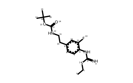 CCSC(=N)Nc1ccc(CCNC(=O)OC(C)(C)C)cc1F